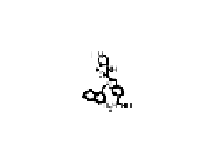 N=C(N)c1ccc2c(c1)N(Cc1cccc3ccccc13)C(C(=O)NC1CCNCC1F)C2